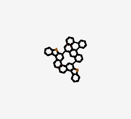 c1ccc(-c2ccccc2-c2c3cccc(-c4cc5ccccc5c5c4sc4ccccc45)c3cc3c(-c4cc5ccccc5c5c4sc4ccccc45)cccc23)cc1